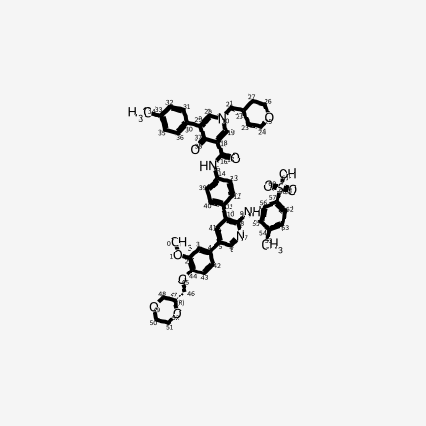 COc1cc(-c2cnc(N)c(-c3ccc(NC(=O)c4cn(CC5CCOCC5)cc(-c5ccc(C)cc5)c4=O)cc3)c2)ccc1OC[C@H]1COCCO1.Cc1ccc(S(=O)(=O)O)cc1